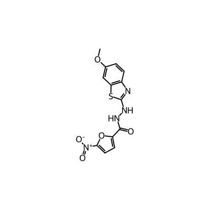 COc1ccc2nc(NNC(=O)c3ccc([N+](=O)[O-])o3)sc2c1